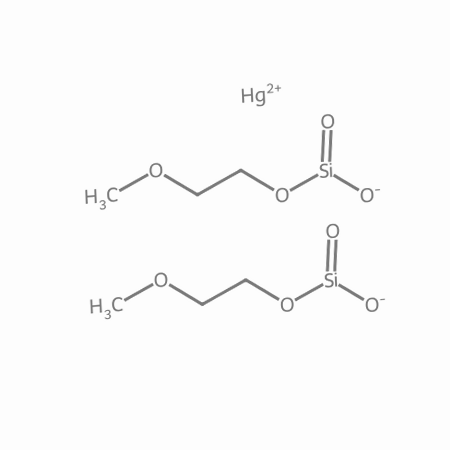 COCCO[Si](=O)[O-].COCCO[Si](=O)[O-].[Hg+2]